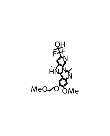 COCCOc1cc2c(N[C@H](C)c3ccnc(C(F)(F)C(C)(C)O)c3)nc(C)nc2cc1OC